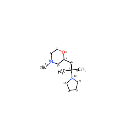 CC(C)(C)N1CCOC(CC(C)(C)N2CCCC2)C1